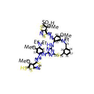 CCN(CC)c1cc(Nc2nc3nc(n2)SCc2cccc(c2)CN(CC)c2cc(c(/N=N/c4snc5sc(S(=O)(=O)O)c(OC)c45)cc2OC)N3)c(/N=N/c2snc3sc(S)c(OC)c23)cc1OC